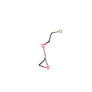 ClCCOC1CO1